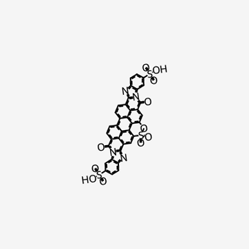 O=c1c2cc3c4c5c(cc6c7c(ccc(c8ccc(c2c84)c2nc4ccc(S(=O)(=O)O)cc4n12)c57)c(=O)n1c2cc(S(=O)(=O)O)ccc2nc61)S(=O)(=O)O3